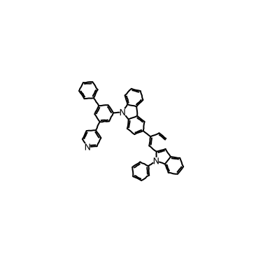 C=C/C(=C\c1cc2ccccc2n1-c1ccccc1)c1ccc2c(c1)c1ccccc1n2-c1cc(-c2ccccc2)cc(-c2ccncc2)c1